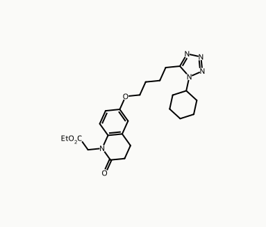 CCOC(=O)CN1C(=O)CCc2cc(OCCCCc3nnnn3C3CCCCC3)ccc21